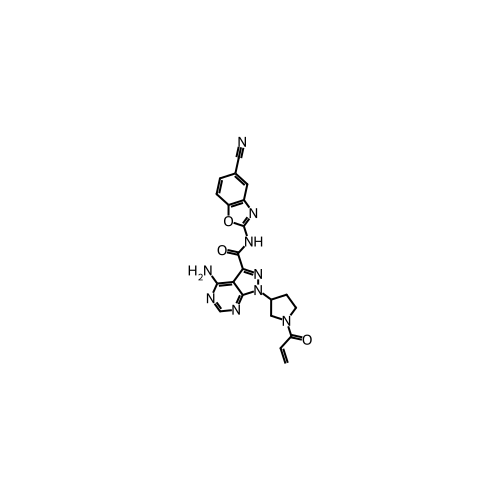 C=CC(=O)N1CCC(n2nc(C(=O)Nc3nc4cc(C#N)ccc4o3)c3c(N)ncnc32)C1